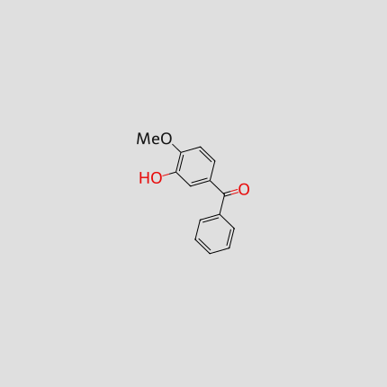 COc1ccc(C(=O)c2ccccc2)cc1O